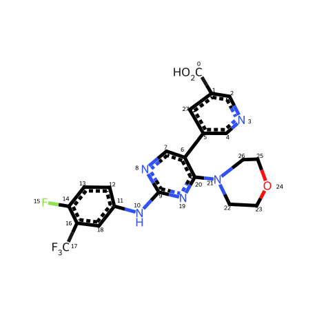 O=C(O)c1cncc(-c2cnc(Nc3ccc(F)c(C(F)(F)F)c3)nc2N2CCOCC2)c1